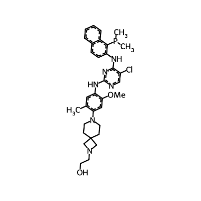 COc1cc(N2CCC3(CC2)CN(CCO)C3)c(C)cc1Nc1ncc(Cl)c(Nc2ccc3ccccc3c2P(C)C)n1